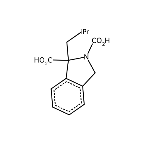 CC(C)CC1(C(=O)O)c2ccccc2CN1C(=O)O